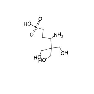 NC(CCS(=O)(=O)O)C(CO)(CO)CO